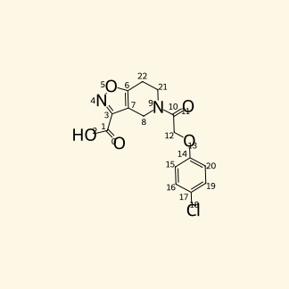 O=C(O)c1noc2c1CN(C(=O)COc1ccc(Cl)cc1)CC2